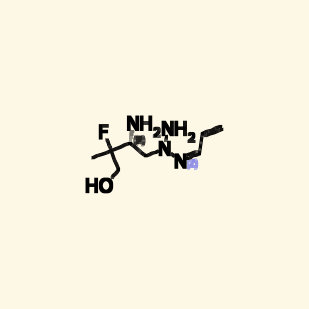 C=C/C=N\N(N)C[C@@H](N)C(C)(F)CO